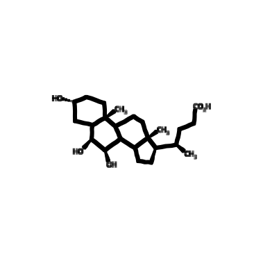 C[C@H](CCC(=O)O)[C@H]1CCC2C3C(CC[C@@]21C)[C@@]1(C)CC[C@@H](O)CC1[C@H](O)[C@@H]3O